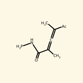 CC(=O)C(C)=C=C(C)C(=O)NP